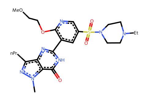 CCCc1nn(C)c2c(=O)[nH]c(-c3cc(S(=O)(=O)N4CCN(CC)CC4)cnc3OCCOC)nc12